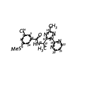 CSc1cc(Cl)cc(C(=O)NC(C)c2nc(C)nn2-c2ncccn2)c1